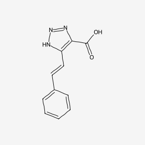 O=C(O)c1nn[nH]c1/C=C/c1ccccc1